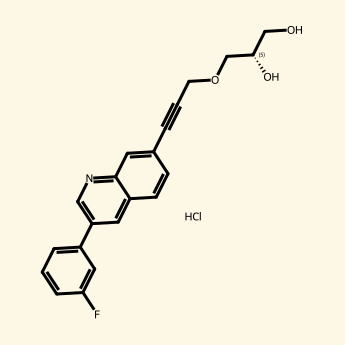 Cl.OC[C@H](O)COCC#Cc1ccc2cc(-c3cccc(F)c3)cnc2c1